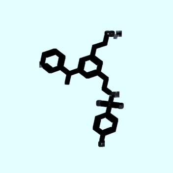 CC(c1cccnc1)c1cc(CCNS(=O)(=O)c2ccc(Cl)cc2)cc(CCC(=O)O)c1